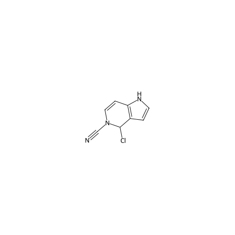 N#CN1C=Cc2[nH]ccc2C1Cl